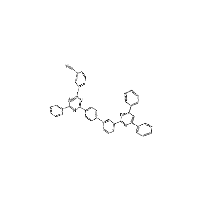 N#Cc1cccc(-c2nc(-c3ccccc3)nc(-c3ccc(-c4cccc(-c5nc(-c6ccccc6)cc(-c6ccccc6)n5)c4)cc3)n2)c1